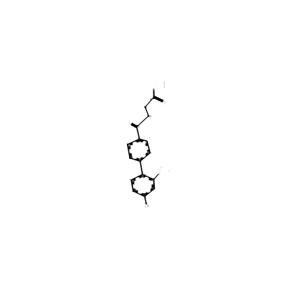 O=C(O)CCC(=O)c1ccc(-c2ccc(Cl)cc2F)cc1